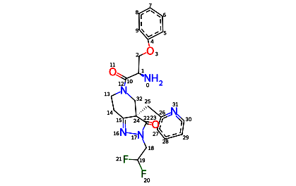 N[C@H](COc1ccccc1)C(=O)N1CCC2=NN(CC(F)F)C(=O)[C@]2(Cc2ccccn2)C1